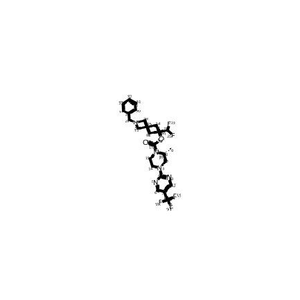 C[C@@H]1CN(c2ncc(C(F)(F)F)cn2)CCN1C(=O)OC1(C(F)F)CC2(CN(Cc3ccccc3)C2)C1